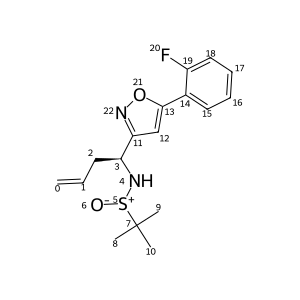 C=CC[C@H](N[S+]([O-])C(C)(C)C)c1cc(-c2ccccc2F)on1